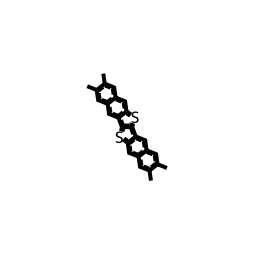 Cc1cc2cc3sc4c5cc6cc(C)c(C)cc6cc5sc4c3cc2cc1C